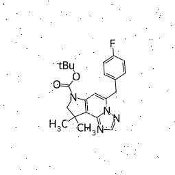 CC(C)(C)OC(=O)N1CC(C)(C)c2c1cc(Cc1ccc(F)cc1)n1ncnc21